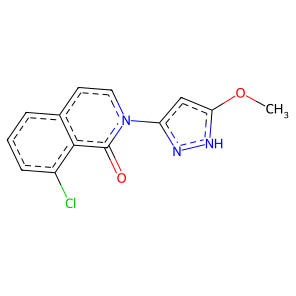 COc1cc(-n2ccc3cccc(Cl)c3c2=O)n[nH]1